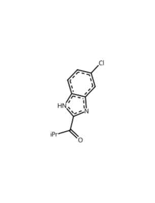 CC(C)C(=O)c1nc2cc(Cl)ccc2[nH]1